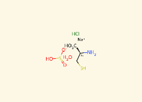 Cl.N[C@@H](CS)C(=O)O.O.O=S([O-])O.[Na+]